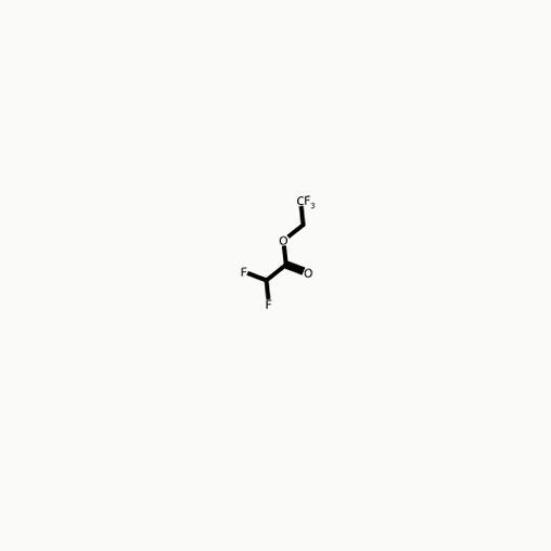 O=C(OCC(F)(F)F)C(F)F